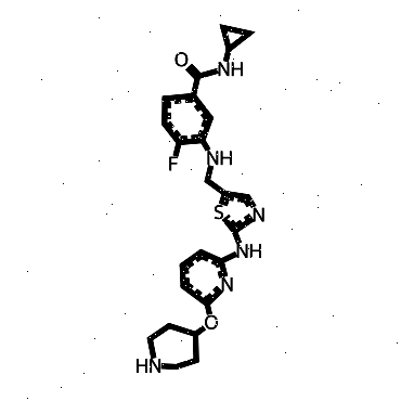 O=C(NC1CC1)c1ccc(F)c(NCc2cnc(Nc3cccc(OC4CCNCC4)n3)s2)c1